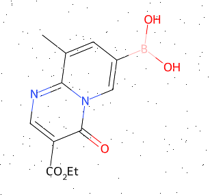 CCOC(=O)c1cnc2c(C)cc(B(O)O)cn2c1=O